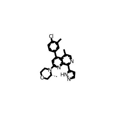 Cc1cc(-c2cc(N3CCOC[C@H]3C)nc3c(-c4ccn[nH]4)ncc(C)c23)ccc1Cl